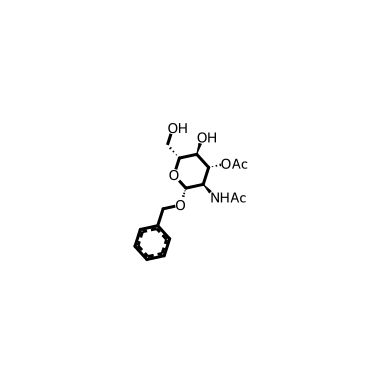 CC(=O)N[C@H]1[C@H](OCc2ccccc2)O[C@H](CO)[C@@H](O)[C@@H]1OC(C)=O